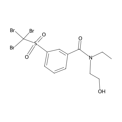 CCN(CCO)C(=O)c1cccc(S(=O)(=O)C(Br)(Br)Br)c1